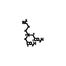 N#CCCN(CC(=O)O)CC(=O)O